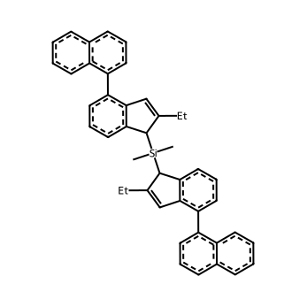 CCC1=Cc2c(-c3cccc4ccccc34)cccc2C1[Si](C)(C)C1C(CC)=Cc2c(-c3cccc4ccccc34)cccc21